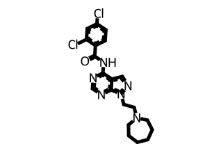 O=C(Nc1ncnc2c1cnn2CCN1CCCCCC1)c1ccc(Cl)cc1Cl